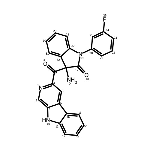 NC1(C(=O)c2cc3c(cn2)[nH]c2ccccc23)C(=O)N(c2cccc(F)c2)c2ccccc21